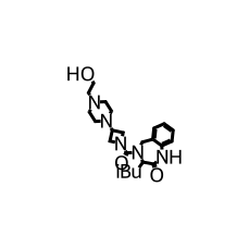 CCC(C)C1C(=O)Nc2ccccc2CN1C(=O)N1CC(N2CCN(CCO)CC2)C1